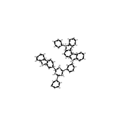 c1ccc(-c2nc(-c3cccc(-n4c5ccccc5c5c6c7ccccc7n(-c7ccccc7)c6ccc54)c3)nc(-c3ccc4c(c3)sc3ccccc34)n2)cc1